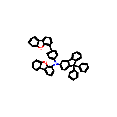 c1ccc(C2(c3ccccc3)c3ccccc3-c3cc(N(c4ccc(-c5cccc6c5oc5ccccc56)cc4)c4cccc5c4oc4ccccc45)ccc32)cc1